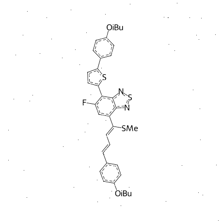 CS/C(=C\C=C\c1ccc(OCC(C)C)cc1)c1cc(F)c(-c2ccc(-c3ccc(OCC(C)C)cc3)s2)c2nsnc12